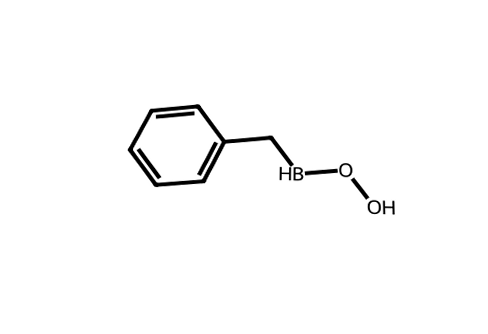 OOBCc1ccccc1